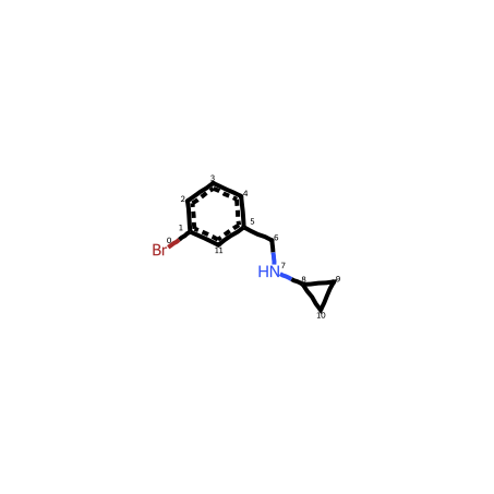 Brc1cccc(CNC2CC2)c1